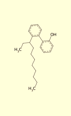 CCCCCCCCC(CC)c1ccccc1-c1ccccc1O